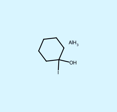 OC1(I)CCCCC1.[AlH3]